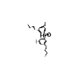 CCCCc1cc(I)cc([PH](=O)c2cc(I)cc(CCCC)c2)c1